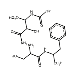 CCCC(=O)NC(C(=O)O)C(O)C(N)=O.NC(CO)C(=O)NC(Cc1ccccc1)C(=O)O